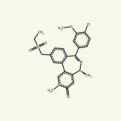 CCS(=O)(=O)Cc1ccc2c(c1)-c1cn(C)c(=O)cc1[C@H](C)N=C2c1ccc(Cl)c(OC)c1